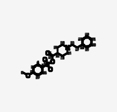 COc1ccc(S(=O)(=O)OC(=O)C2CCN(CCc3ccccc3)CC2)cc1